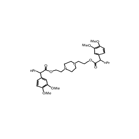 CCCC(C(=O)OCCN1CCN(CCOC(=O)C(CCC)c2ccc(OC)c(OC)c2)CC1)c1ccc(OC)c(OC)c1